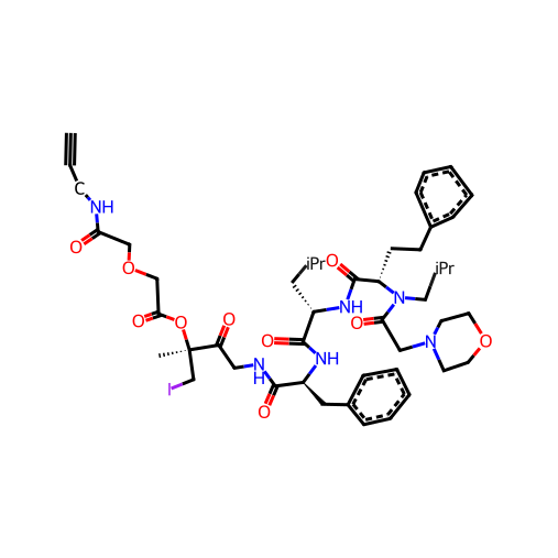 C#CCNC(=O)COCC(=O)O[C@](C)(CI)C(=O)CNC(=O)[C@H](Cc1ccccc1)NC(=O)[C@H](CC(C)C)NC(=O)[C@H](CCc1ccccc1)N(CC(C)C)C(=O)CN1CCOCC1